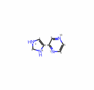 C1=CNCN1.c1cnccn1